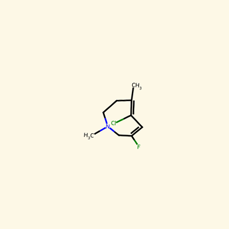 C/C1=C(Cl)\C=C(\F)CN(C)CC1